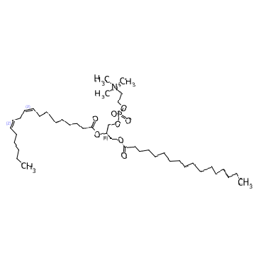 CCCCC/C=C\C/C=C\CCCCCCCC(=O)O[C@H](COC(=O)CCCCCCCCCCCCCCCC)COP(=O)([O-])OCC[N+](C)(C)C